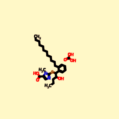 CCCCCCCCCCCCc1ccccc1C(Sc1ncc(C(=O)O)n1C)C(O)CCC.O=C(O)O